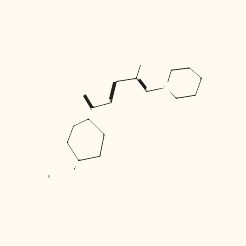 CCCCCCC[C@H]1CC[C@H](C(=O)C=CC(C)=CN2CCCCC2)CC1